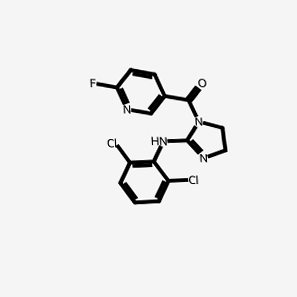 O=C(c1ccc(F)nc1)N1CCN=C1Nc1c(Cl)cccc1Cl